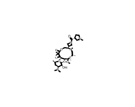 CO[C@]1(C)C[C@@H](C)CN(C)[C@H](C2CN(C(=O)[C@@H]3CCN(C)C3)C2)COC(=O)C(C)(C)C(=O)[C@H](C)[C@H]1O[C@@H]1O[C@H](C)C[C@H](N(C)C)[C@H]1O